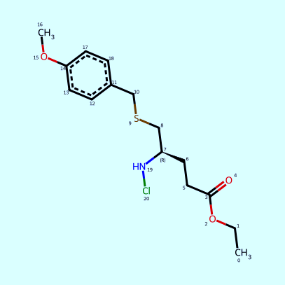 CCOC(=O)CC[C@H](CSCc1ccc(OC)cc1)NCl